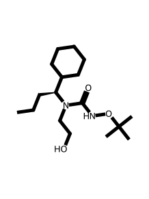 CCC[C@@H](C1CCCCC1)N(CCO)C(=O)NOC(C)(C)C